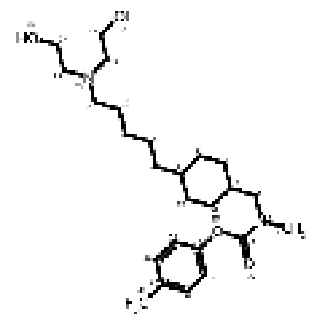 CN(CC1CCC(CCCCCN(CCO)CCO)CC1)C(=O)Oc1ccc(C(F)(F)F)cc1